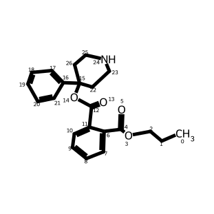 CCCOC(=O)c1ccccc1C(=O)OC1(c2ccccc2)CCNCC1